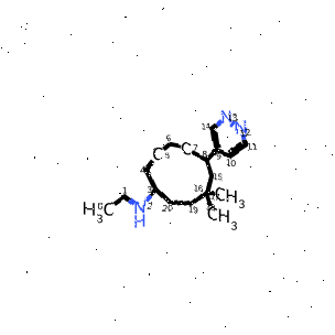 CCNC1CCCCC(c2ccnnc2)CC(C)(C)CC1